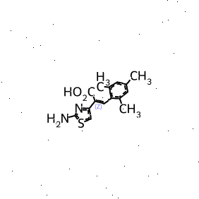 Cc1cc(C)c(/C=C(\C(=O)O)c2csc(N)n2)c(C)c1